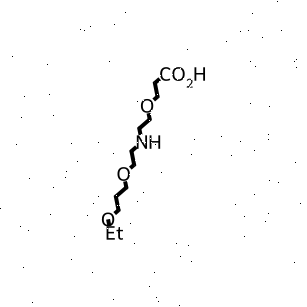 CCOCCCOCCNCCOCCC(=O)O